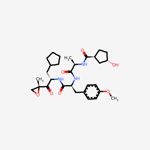 COc1ccc(C[C@H](NC(=O)[C@@H](C)NC(=O)[C@H]2CC[C@H](O)C2)C(=O)N[C@@H](CC2CCCC2)C(=O)[C@@]2(C)CO2)cc1